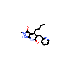 CCCCC1=c2c([nH]n(C)c2=O)=NC(=O)C1Cc1ccccn1